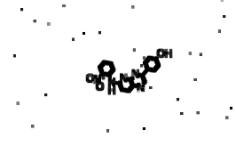 O=[N+]([O-])c1ccccc1Nc1ccc2ncc(-c3ccc(O)cc3)nc2n1